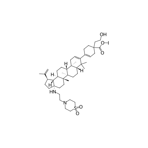 C=C(C)[C@@H]1CC[C@]2(NCCN3CCS(=O)(=O)CC3)CC[C@]3(C)[C@H](CC[C@@H]4[C@@]5(C)CC=C(C6=CCC(CCO)(C(=O)OI)CC6)C(C)(C)[C@@H]5CC[C@]43C)[C@@H]12